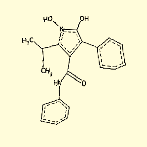 CC(C)c1c(C(=O)Nc2ccccc2)c(-c2ccccc2)c(O)n1O